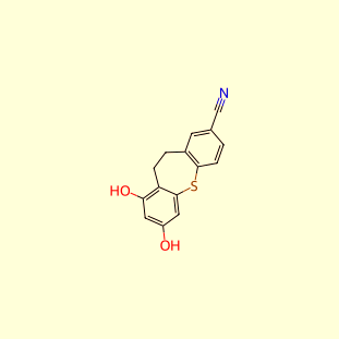 N#Cc1ccc2c(c1)CCc1c(O)cc(O)cc1S2